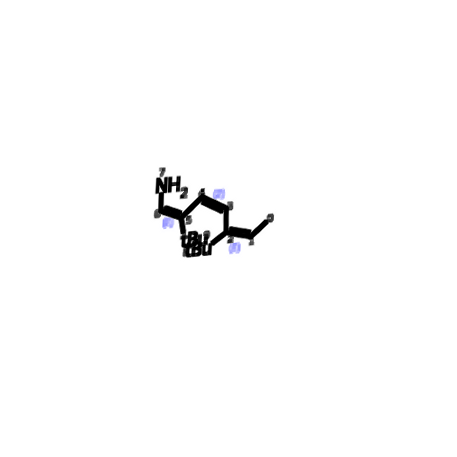 C\C=C(/C=C\C(=C/N)C(C)(C)C)C(C)(C)C